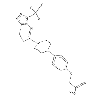 CC(=O)COc1ccc(C2CCN(C3=Nn4c(nnc4C(F)(F)F)CC3)CC2)cc1